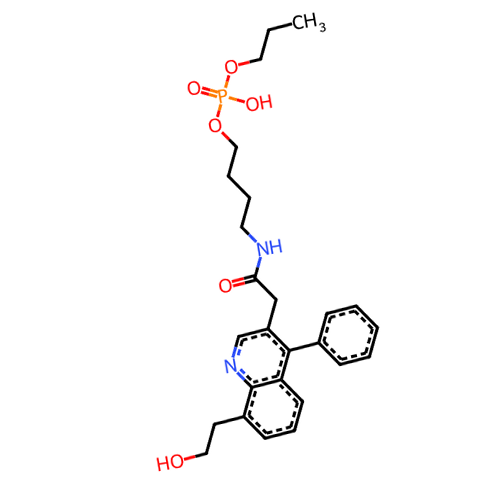 CCCOP(=O)(O)OCCCCNC(=O)Cc1cnc2c(CCO)cccc2c1-c1ccccc1